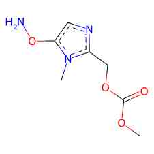 COC(=O)OCc1ncc(ON)n1C